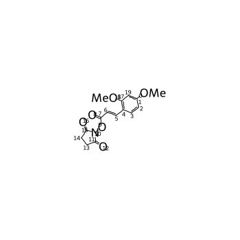 COc1ccc(C=CC(=O)ON2C(=O)CCC2=O)c(OC)c1